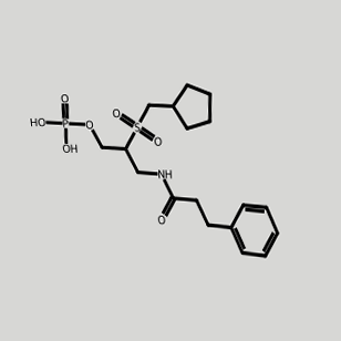 O=C(CCc1ccccc1)NCC(COP(=O)(O)O)S(=O)(=O)CC1CCCC1